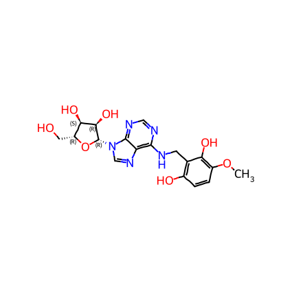 COc1ccc(O)c(CNc2ncnc3c2ncn3[C@@H]2O[C@H](CO)[C@@H](O)[C@H]2O)c1O